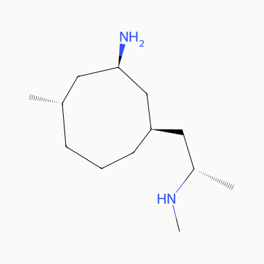 CN[C@@H](C)C[C@H]1CCC[C@H](C)C[C@@H](N)C1